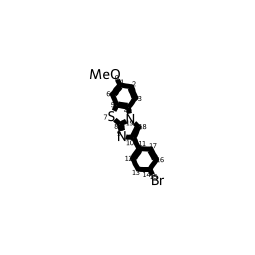 COc1ccc2c(c1)sc1nc(C3=CCC(Br)C=C3)cn12